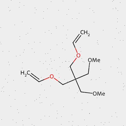 C=COCC(COC)(COC)COC=C